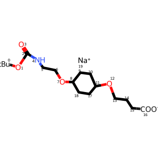 CC(C)(C)OC(=O)NCCOC1CCC(OCCCC(=O)[O-])CC1.[Na+]